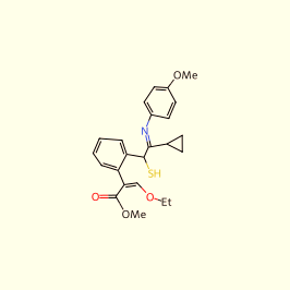 CCOC=C(C(=O)OC)c1ccccc1C(S)C(=Nc1ccc(OC)cc1)C1CC1